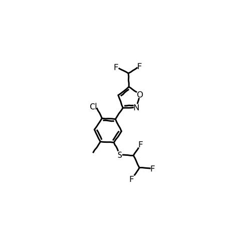 Cc1cc(Cl)c(-c2cc(C(F)F)on2)cc1SC(F)C(F)F